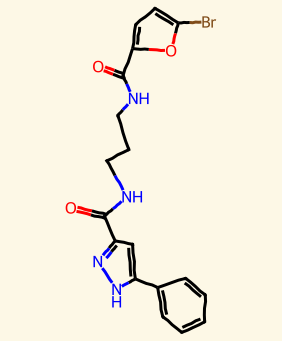 O=C(NCCCNC(=O)c1ccc(Br)o1)c1cc(-c2ccccc2)[nH]n1